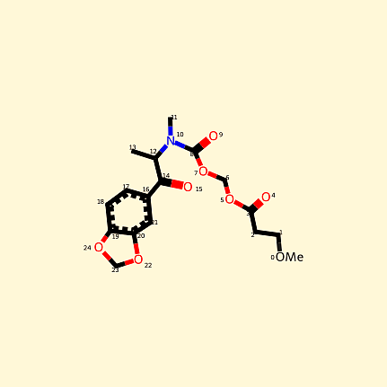 COCCC(=O)OCOC(=O)N(C)C(C)C(=O)c1ccc2c(c1)OCO2